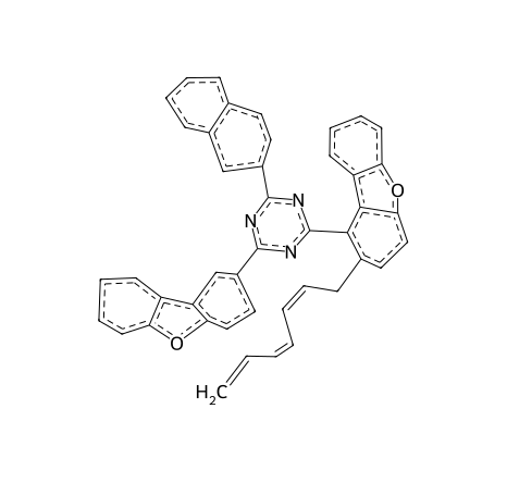 C=C/C=C\C=C/Cc1ccc2oc3ccccc3c2c1-c1nc(-c2ccc3ccccc3c2)nc(-c2ccc3oc4ccccc4c3c2)n1